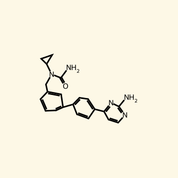 NC(=O)N(Cc1cccc(-c2ccc(-c3ccnc(N)n3)cc2)c1)C1CC1